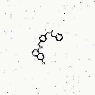 CN(Cc1ccc(CNc2ccnc3cc(Cl)ccc23)cc1)Cc1ccccn1